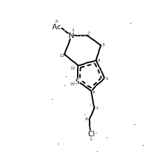 CC(=O)N1CCc2cc(CCCl)sc2C1